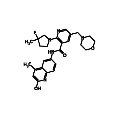 Cc1cc(O)nc2ccc(NC(=O)c3cc(CN4CCOCC4)cnc3N3CCC(C)(F)C3)cc12